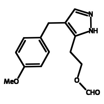 COc1ccc(Cc2cn[nH]c2CCOC=O)cc1